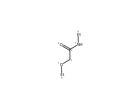 [CH2]COCC(=O)NCC